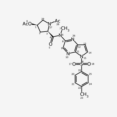 CC(=O)O[C@@H]1C[C@H](C(=O)N(C)c2cnc3c(ccn3S(=O)(=O)c3ccc(C)cc3)n2)N(C(C)=O)C1